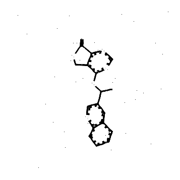 CC(Nc1ncnc2c1CNC2=O)c1cnc2ccccc2c1